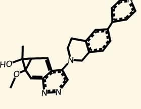 COC12C=c3nncc(N4CCc5cc(-c6ccncc6)ccc5C4)c3=CC1C2(C)O